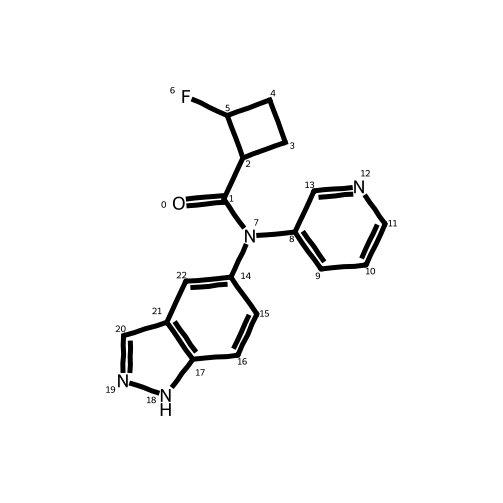 O=C(C1CCC1F)N(c1cccnc1)c1ccc2[nH]ncc2c1